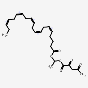 CC/C=C\C/C=C\C/C=C\C/C=C\C/C=C\CCCC(=O)OC(C)OC(=O)C(=O)CC(C)=O